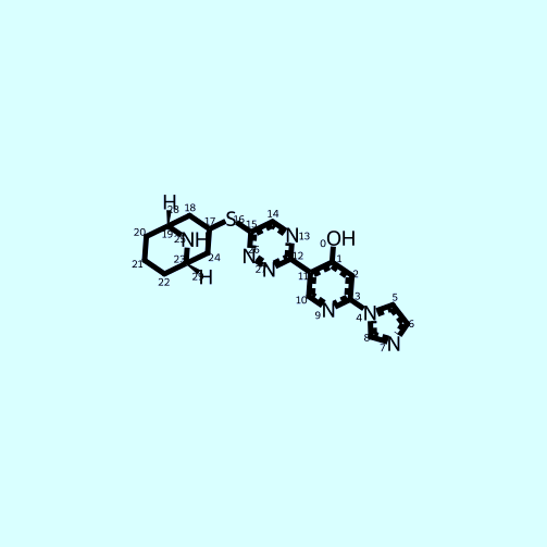 Oc1cc(-n2ccnc2)ncc1-c1ncc(SC2C[C@H]3CCC[C@@H](C2)N3)nn1